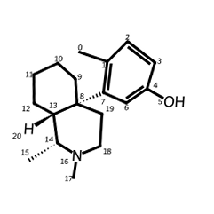 Cc1ccc(O)cc1[C@@]12CCCC[C@H]1[C@@H](C)N(C)CC2